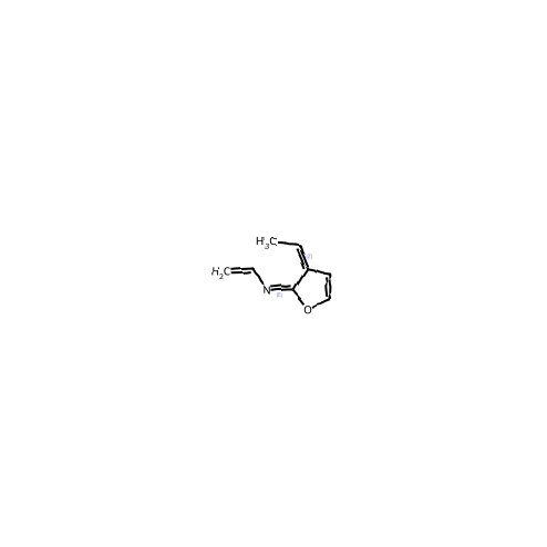 C=C/N=C1/OC=C/C1=C/C